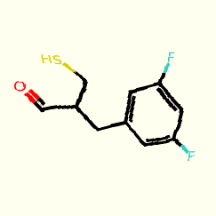 O=CC(CS)Cc1cc(F)cc(F)c1